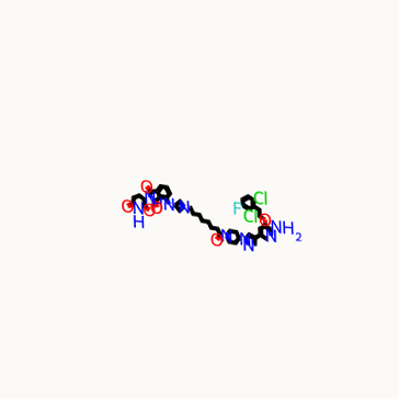 Nc1ncc(-c2cnn(C3CCN(C(=O)CCCCCCCN4CC(Nc5cccc6c5C(=O)N([C@@H]5CCC(=O)NC5=O)C6=O)C4)CC3)c2)cc1OCCc1c(Cl)ccc(F)c1Cl